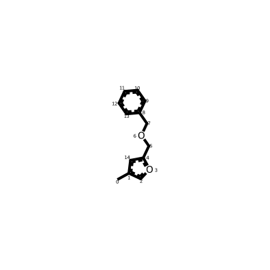 Cc1coc(COCc2ccccc2)c1